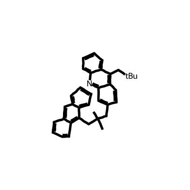 CC(C)(C)Cc1c2ccccc2nc2cc(CC(C)(C)Cc3c4ccccc4cc4ccccc34)ccc12